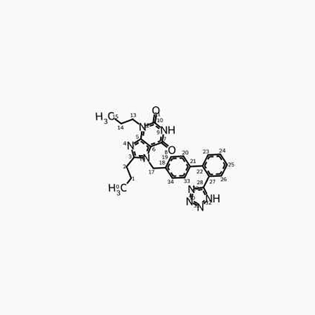 CCCc1nc2c(c(=O)[nH]c(=O)n2CCC)n1Cc1ccc(-c2ccccc2-c2nnn[nH]2)cc1